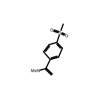 C=C(NC)c1ccc(S(C)(=O)=O)cc1